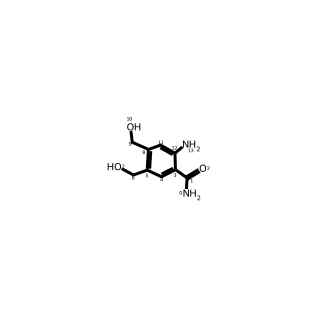 NC(=O)c1cc(CO)c(CO)cc1N